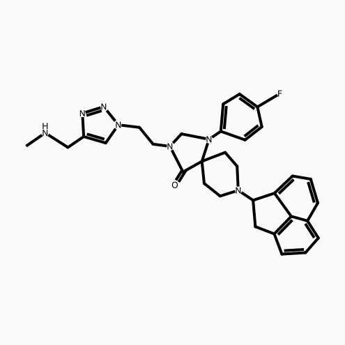 CNCc1cn(CCN2CN(c3ccc(F)cc3)C3(CCN(C4Cc5cccc6cccc4c56)CC3)C2=O)nn1